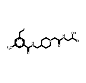 CCC(O)CNC(=O)CN1CCC(CNC(=O)c2cc(CF)cc(C(F)(F)F)c2)CC1